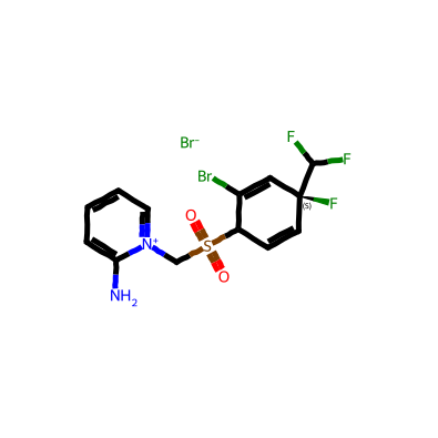 Nc1cccc[n+]1CS(=O)(=O)C1C=C[C@@](F)(C(F)F)C=C1Br.[Br-]